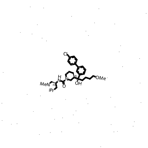 CNC[C@H](CC(C)C)NC(=O)N1CCC[C@@H]([C@@](O)(CCCCOC)c2cccc(-c3ccc(Cl)cc3)c2)C1